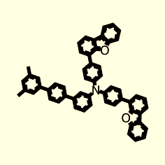 Cc1cc(C)cc(-c2ccc(-c3cccc(N(c4ccc(-c5cccc6c5oc5ccccc56)cc4)c4ccc(-c5cccc6c5oc5ccccc56)cc4)c3)cc2)c1